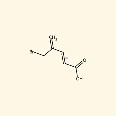 C=C(/C=C/C(=O)O)CBr